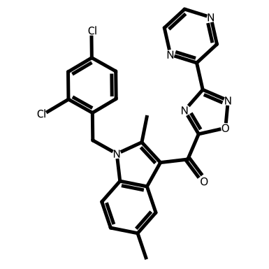 Cc1ccc2c(c1)c(C(=O)c1nc(-c3cnccn3)no1)c(C)n2Cc1ccc(Cl)cc1Cl